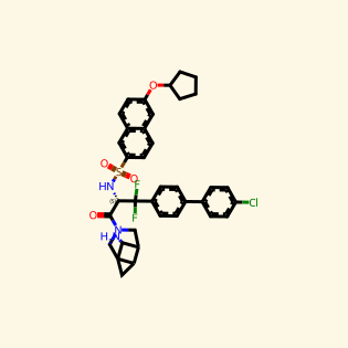 NC1C2CN(C(=O)[C@H](NS(=O)(=O)c3ccc4cc(OC5CCCC5)ccc4c3)C(F)(F)c3ccc(-c4ccc(Cl)cc4)cc3)CC13CC23